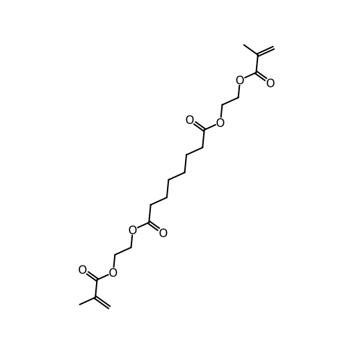 C=C(C)C(=O)OCCOC(=O)CCCCCCC(=O)OCCOC(=O)C(=C)C